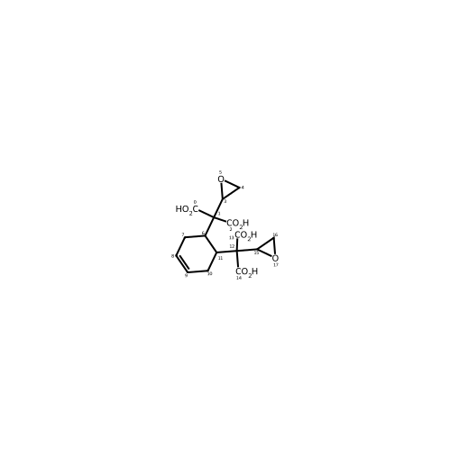 O=C(O)C(C(=O)O)(C1CO1)C1CC=CCC1C(C(=O)O)(C(=O)O)C1CO1